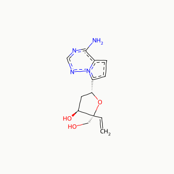 C=C[C@]1(CO)O[C@@H](c2ccc3c(N)ncnn23)C[C@@H]1O